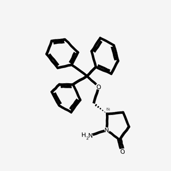 NN1C(=O)CC[C@H]1COC(c1ccccc1)(c1ccccc1)c1ccccc1